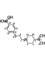 CN(C)C1CCN(CCSc2ccc(B(O)O)cc2)CC1